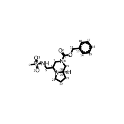 CS(=O)(=O)NCC1CN(C(=O)OCc2ccccc2)C[C@@H]2CCCN12